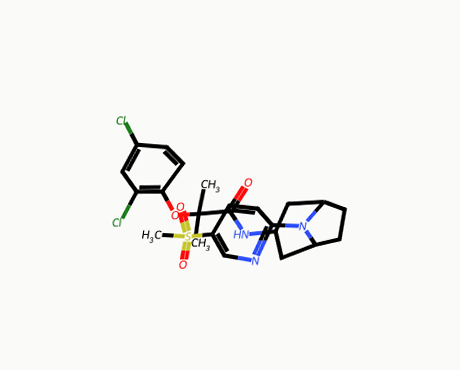 CC(C)(Oc1ccc(Cl)cc1Cl)C(=O)NC1CC2CCC(C1)N2c1ccc(S(C)(=O)=O)cn1